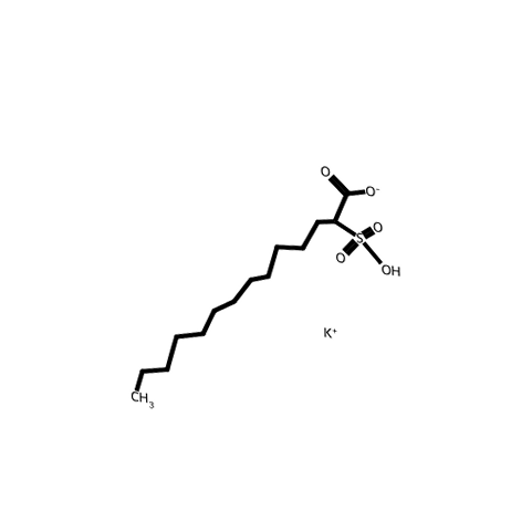 CCCCCCCCCCCCC(C(=O)[O-])S(=O)(=O)O.[K+]